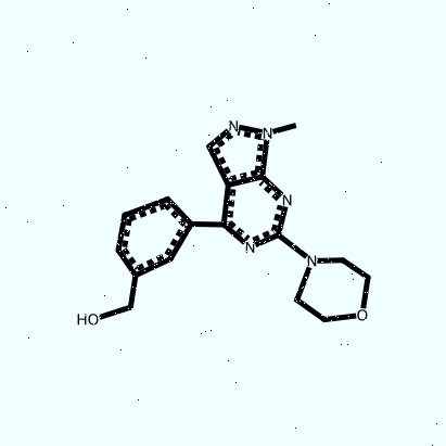 Cn1ncc2c(-c3cccc(CO)c3)nc(N3CCOCC3)nc21